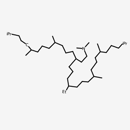 CCC(CCCC(C)CCCC(C)CCCC(C)C)CCCC(CCCC(C)CCCC(C)CCCC(C)C)CCN(C)C